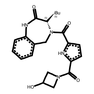 CC[C@H](C)[C@H]1C(=O)Nc2ccccc2CN1C(=O)c1ccc(C(=O)N2CC(O)C2)[nH]1